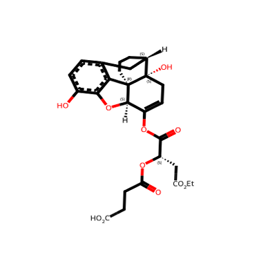 CCOC(=O)C[C@H](OC(=O)CCC(=O)O)C(=O)OC1=CC[C@]2(O)[C@H]3CCC[C@]24c2c(ccc(O)c2O[C@H]14)C3